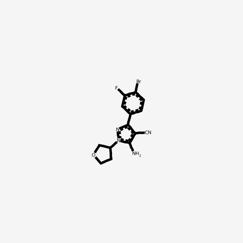 N#Cc1c(-c2ccc(Br)c(F)c2)nn(C2CCOC2)c1N